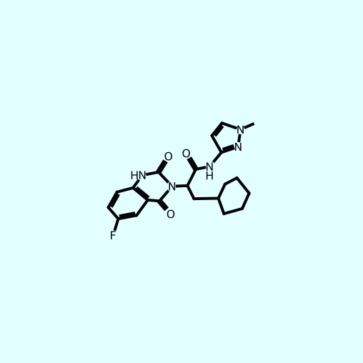 Cn1ccc(NC(=O)C(CC2CCCCC2)n2c(=O)[nH]c3ccc(F)cc3c2=O)n1